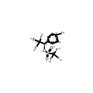 O=S(=O)(O[C@H](c1ccc(F)cc1)C(F)(F)F)C(F)(F)F